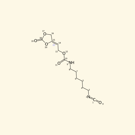 O=C=NCCCCCCNC(=O)OC/C=C1/COC(=O)O1